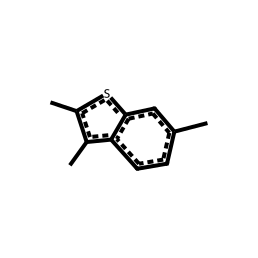 Cc1ccc2c(C)c(C)sc2c1